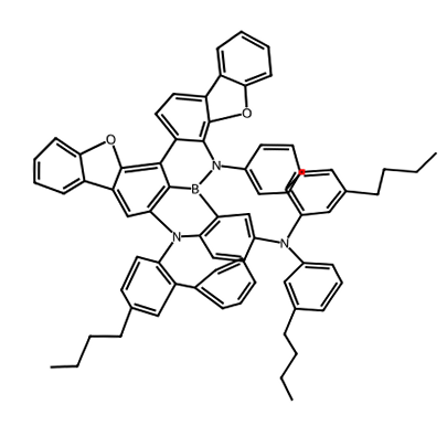 CCCCc1cccc(N(c2cccc(CCCC)c2)c2ccc3c(c2)B2c4c(cc5c(oc6ccccc65)c4-c4ccc5c(oc6ccccc65)c4N2c2ccccc2)N3c2ccc(CCCC)cc2-c2ccccc2)c1